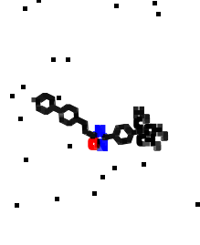 CC(C)(C)c1ccc(-c2noc(C=CC3CCC(c4cc[c]cc4)CC3)n2)cc1